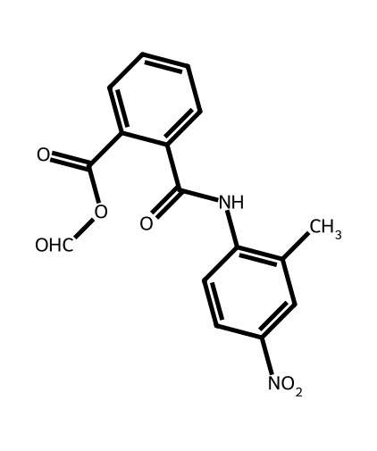 Cc1cc([N+](=O)[O-])ccc1NC(=O)c1ccccc1C(=O)OC=O